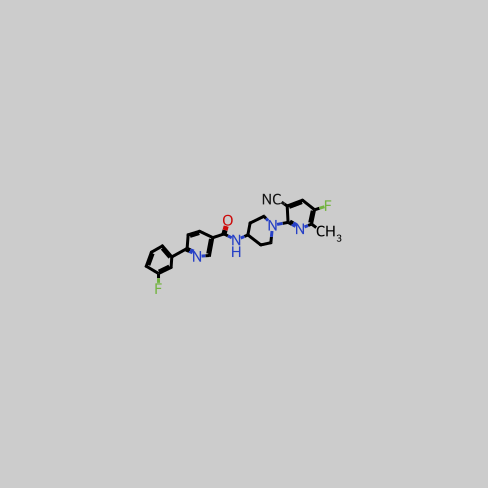 Cc1nc(N2CCC(NC(=O)c3ccc(-c4cccc(F)c4)nc3)CC2)c(C#N)cc1F